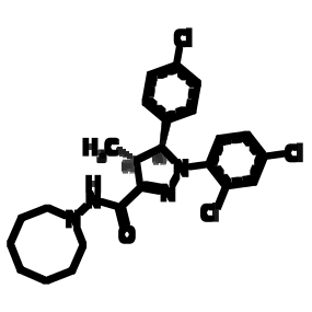 C[C@H]1C(C(=O)NN2CCCCCCC2)=NN(c2ccc(Cl)cc2Cl)[C@@H]1c1ccc(Cl)cc1